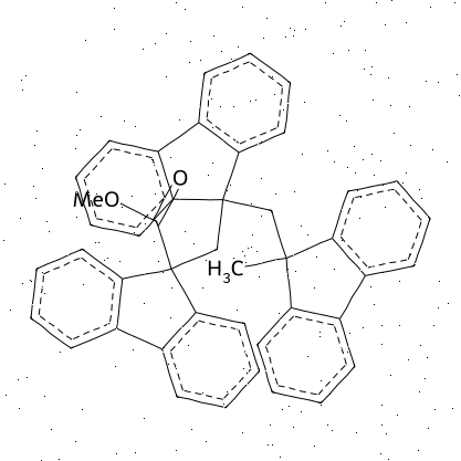 COC(=O)C1(CC2(CC3(C)c4ccccc4-c4ccccc43)c3ccccc3-c3ccccc32)c2ccccc2-c2ccccc21